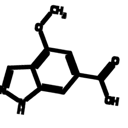 COc1cc(C(=O)O)cc2[nH]ncc12